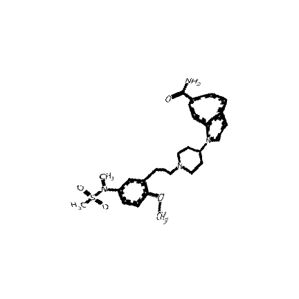 COc1ccc(N(C)S(C)(=O)=O)cc1CCN1CCC(n2ccc3ccc(C(N)=O)cc32)CC1